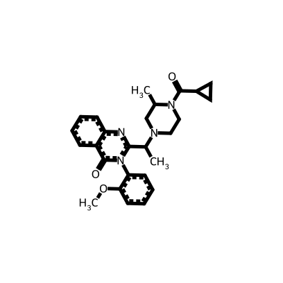 COc1ccccc1-n1c(C(C)N2CCN(C(=O)C3CC3)C(C)C2)nc2ccccc2c1=O